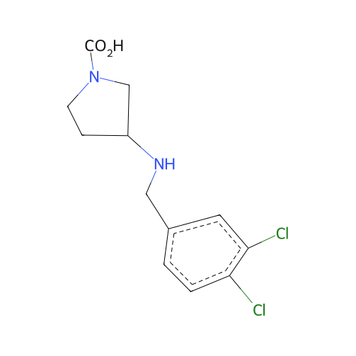 O=C(O)N1CCC(NCc2ccc(Cl)c(Cl)c2)C1